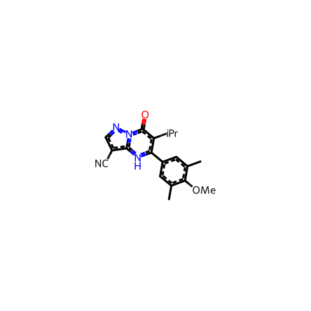 COc1c(C)cc(-c2[nH]c3c(C#N)cnn3c(=O)c2C(C)C)cc1C